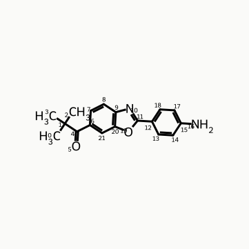 CC(C)(C)C(=O)c1ccc2nc(-c3ccc(N)cc3)oc2c1